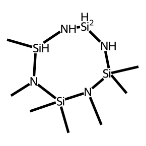 CN1[SiH](C)N[SiH2]N[Si](C)(C)N(C)[Si]1(C)C